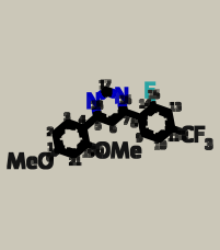 COc1ccc(-c2cc(-c3ccc(C(F)(F)F)cc3F)ncn2)c(OC)c1